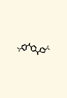 C=C(c1ccc(C(=C)c2ccc(N(C)C)cc2)cc1)c1ccc(N(C)C)cc1